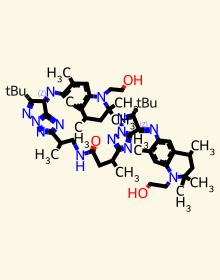 Cc1cc2c(cc1/N=C1/C(C(C)(C)C)=Nn3nc(C(C)CNC(=O)CC(C)c4nc5n(n4)N=C(C(C)(C)C)/C5=N/c4cc5c(cc4C)N(CCO)C(C)(C)CC5C)nc31)C(C)CC(C)(C)N2CCO